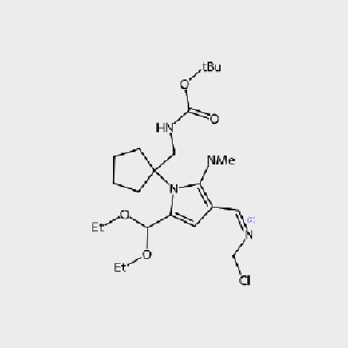 CCOC(OCC)c1cc(/C=N\CCl)c(NC)n1C1(CNC(=O)OC(C)(C)C)CCCC1